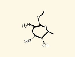 CO[C@H]1O[C@@H](C)[C@H](O)[C@H](O)[C@H]1N